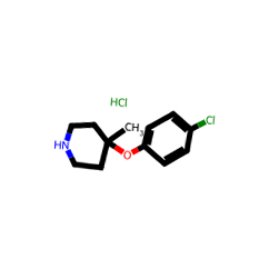 CC1(Oc2ccc(Cl)cc2)CCNCC1.Cl